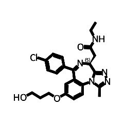 CCNC(=O)C[C@@H]1N=C(c2ccc(Cl)cc2)c2cc(OCCCO)ccc2-n2c(C)nnc21